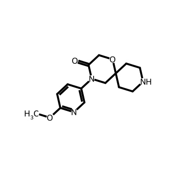 COc1ccc(N2CC3(CCNCC3)OCC2=O)cn1